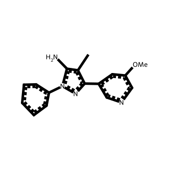 COc1cncc(-c2nn(-c3ccccc3)c(N)c2C)c1